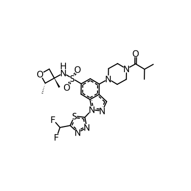 CC(C)C(=O)N1CCN(c2cc(S(=O)(=O)N[C@@]3(C)CO[C@H]3C)cc3c2cnn3-c2nnc(C(F)F)s2)CC1